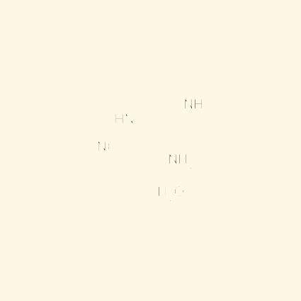 N#CNC(=N)N.O